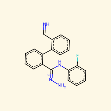 N=Cc1ccccc1-c1ccccc1/C(=N/N)Nc1ccccc1F